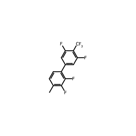 Cc1ccc(-c2cc(F)c(C(F)(F)F)c(F)c2)c(F)c1F